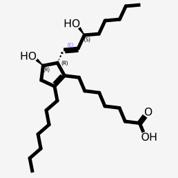 CCCCCCCC1=C(CCCCCCC(=O)O)[C@@H](/C=C/[C@@H](O)CCCCC)[C@H](O)C1